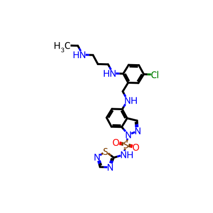 CCNCCCNc1ccc(Cl)cc1CNc1cccc2c1cnn2S(=O)(=O)Nc1ncns1